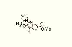 COC(=O)c1ccc2[nH]c(=O)c(N3CCOCC3C)nc2c1